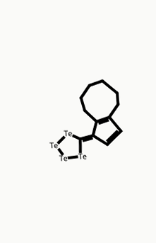 C1=CC(=C2[Te][Te][Te][Te]2)C2=C1CCCCCC2